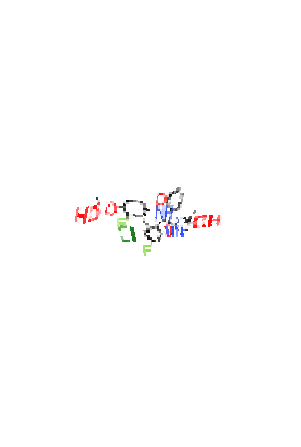 C[C@H](O)COc1ccc(C(N)=O)c(-c2c(Cl)c(F)cc3c2C[C@](c2ccccc2)(C2CC(C)(O)CN2)O3)c1F